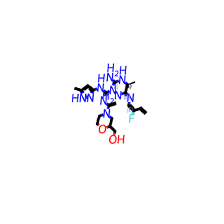 C=C/C(F)=C\N=C(/N)[C@H](C)N/C(N)=N/C(=N\C(=C)N1CCOC(CO)C1)Nc1cc(C)[nH]n1